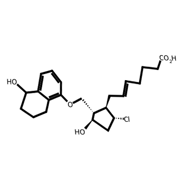 O=C(O)CCCC=CC[C@@H]1[C@@H](COc2cccc3c2CCCC3O)[C@H](O)C[C@H]1Cl